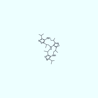 CC(C)c1nsc(C(C)CNc2c(C(C)C)noc2C(C)CNc2c(C(C)C)nsc2C(C)C)c1N